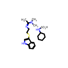 CC(=NCCSc1c[nH]c2ccccc12)N(C)C.O=S(=O)(O)NC1CCCCC1